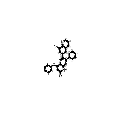 O=c1cc(Oc2ccccc2)c2nc(-c3cc(Cl)c4ncccc4c3)c(-c3ccccc3)nc2[nH]1